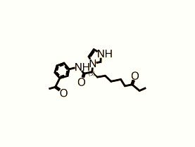 CCC(=O)CCCCC[C@@H](C(=O)Nc1cccc(C(C)=O)c1)N1C=CNC1